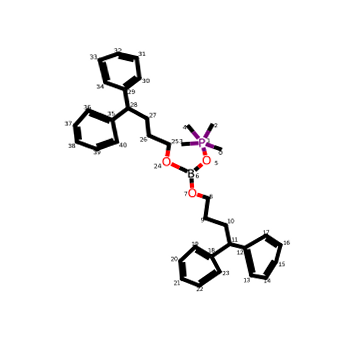 CP(C)(C)(C)OB(OCCCC(c1ccccc1)c1ccccc1)OCCCC(c1ccccc1)c1ccccc1